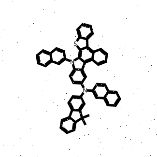 CC1(C)c2ccccc2-c2ccc(N(c3ccc4ccccc4c3)c3ccc4c(c3)c3c5ccccc5c5c6ccccc6sc5c3n4-c3ccc4ccccc4c3)cc21